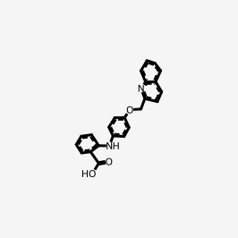 O=C(O)c1ccccc1Nc1ccc(OCc2ccc3ccccc3n2)cc1